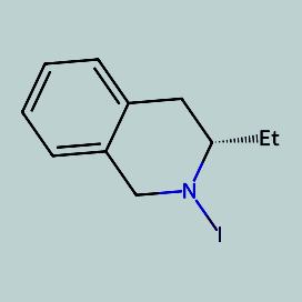 CC[C@H]1Cc2ccccc2CN1I